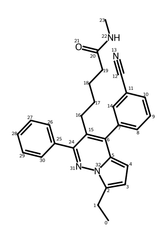 CCc1ccc2c(-c3cccc(C#N)c3)c(CCCCC(=O)NC)c(-c3ccccc3)nn12